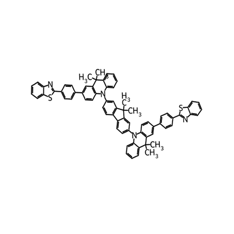 CC1(C)c2cc(N3c4ccccc4C(C)(C)c4cc(-c5ccc(-c6nc7ccccc7s6)cc5)ccc43)ccc2-c2ccc(N3c4ccccc4C(C)(C)c4cc(-c5ccc(-c6nc7ccccc7s6)cc5)ccc43)cc21